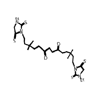 CCN1CC(=S)N(CCC(C)(C)CCC(=O)CCC(=O)CCC(C)(C)CCN2C(=S)CN(CC)C2=S)C1=S